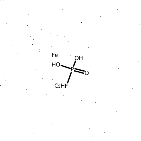 O=P(O)(O)F.[CsH].[Fe]